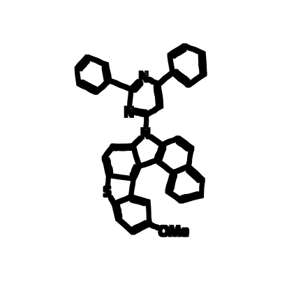 COc1ccc2sc3ccc4c(c3c2c1)c1c2ccccc2ccc1n4-c1cc(-c2ccccc2)nc(-c2ccccc2)n1